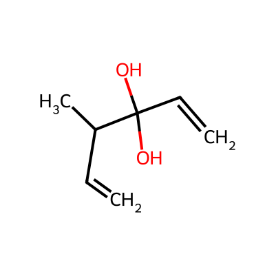 C=CC(C)C(O)(O)C=C